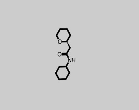 O=C(C[C@@H]1CCCCO1)NC1CCCCC1